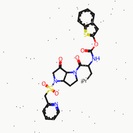 CC(C)CC(NC(=O)Oc1cc2ccccc2s1)C(=O)N1CCC2C1C(=O)CN2S(=O)(=O)Cc1ccccn1